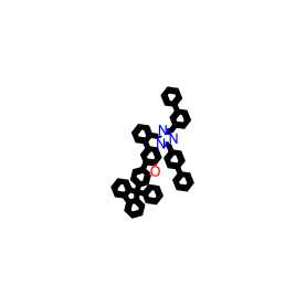 c1ccc(-c2ccc(-c3nc(-c4cccc(-c5ccccc5)c4)nc(-c4ccccc4-c4ccc5oc6cc(C7(c8ccccc8)c8ccccc8-c8ccccc87)ccc6c5c4)n3)cc2)cc1